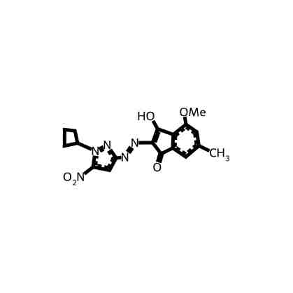 COc1cc(C)cc2c1C(O)=C(N=Nc1cc([N+](=O)[O-])n(C3CCC3)n1)C2=O